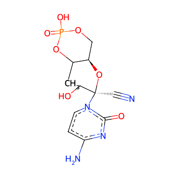 CC1OP(=O)(O)OC[C@H]1O[C@](C#N)(CO)n1ccc(N)nc1=O